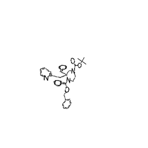 CC(C)(C)OC(=O)N1CCN(C(=O)OCc2ccccc2)C(C=O)(Cc2ccccn2)C1